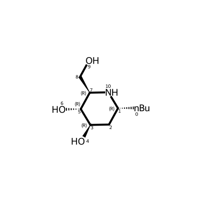 CCCC[C@@H]1C[C@@H](O)[C@H](O)[C@@H](CO)N1